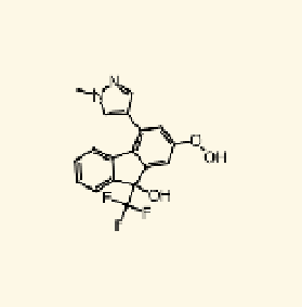 Cn1cc(-c2cc(OO)cc3c2-c2ccccc2C3(O)C(F)(F)F)cn1